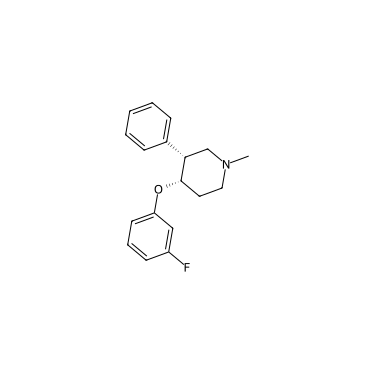 CN1CC[C@H](Oc2cccc(F)c2)[C@H](c2ccccc2)C1